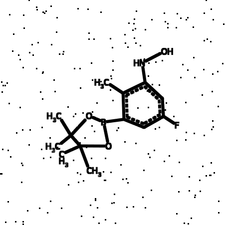 Cc1c(NO)cc(F)cc1B1OC(C)(C)C(C)(C)O1